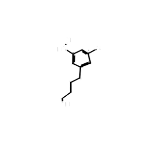 CBc1cc(N)cc(CCCCC)c1